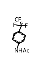 [CH2]C(=O)Nc1ccc(C(F)(F)C(F)(F)F)cc1